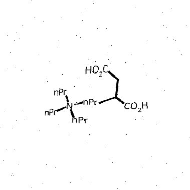 CC(CC(=O)O)C(=O)O.CCC[N+](CCC)(CCC)CCC